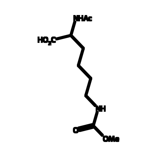 COC(=O)NCCCCC(NC(C)=O)C(=O)O